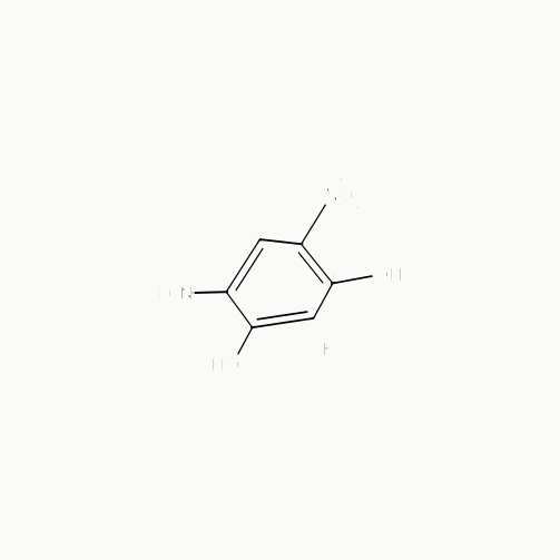 O=[N+]([O-])c1cc([N+](=O)[O-])c(O)cc1O.[K]